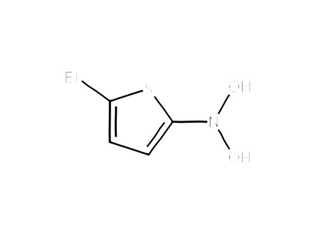 CCc1ccc(N(O)O)s1